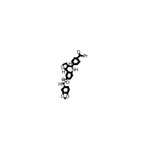 CC(C)C(=O)c1ccc(C2Nc3ccc(S(=O)(=O)Nc4ccc5c(c4)OCO5)cc3[C@H]3OCC[C@@H]23)cc1